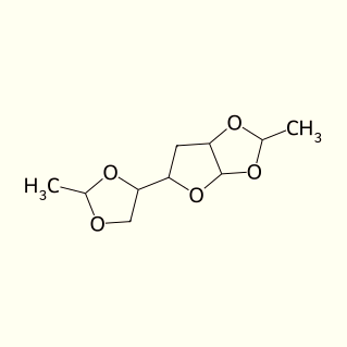 CC1OCC(C2CC3OC(C)OC3O2)O1